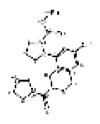 CC(C)(C)OC(=O)N1CCCC1c1cc(Cl)cc2c1CN(C(=O)[C@H]1CCOC1)CC2